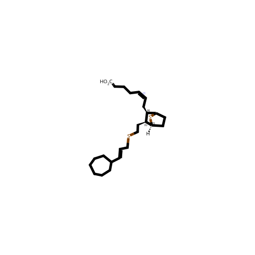 O=C(O)CCC/C=C\C[C@H]1C2CC[C@H](S2)[C@H]1CCSCC=CC1CCCCCC1